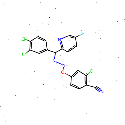 N#Cc1ccc(ONNC(c2ccc(Cl)c(Cl)c2)c2ccc(F)cn2)cc1Cl